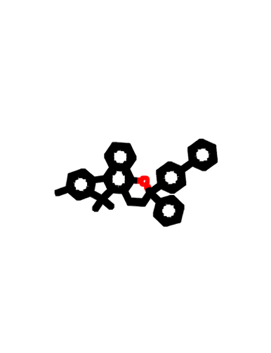 Cc1ccc2c(c1)C(C)(C)c1c3c(c4ccccc4c1-2)OC(c1ccccc1)(c1ccc(-c2ccccc2)cc1)C=C3